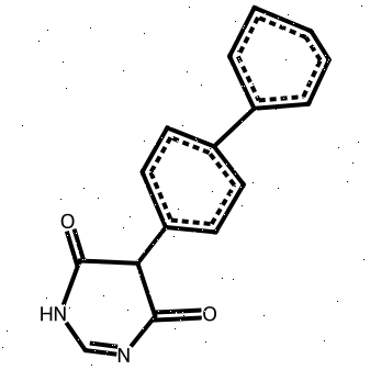 O=C1N=CNC(=O)C1c1ccc(-c2ccccc2)cc1